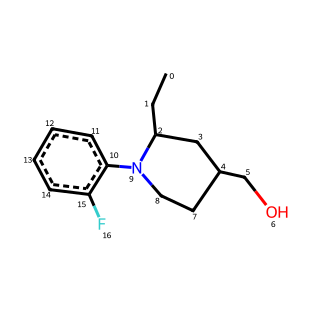 CCC1CC(CO)CCN1c1ccccc1F